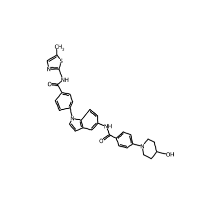 Cc1cnc(NC(=O)c2ccc(-n3ccc4cc(NC(=O)c5ccc(N6CCC(O)CC6)cc5)ccc43)cc2)s1